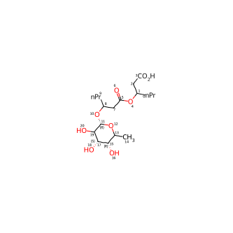 CCCC(CC(=O)O)OC(=O)CC(CCC)O[C@@H]1OC(C)[C@H](O)[C@H](O)C1O